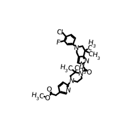 COC(=O)Cc1ccc(N2CCN(C(=O)n3cc4c(n3)C(C)(C)CN(c3ccc(Cl)c(F)c3)C4)C(C)(C)C2)nc1